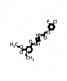 CCOC(=O)C1CC(C(=O)NC23CC(NC(=O)COc4ccc(Cl)c(F)c4)(C2)C3)CCN1CC